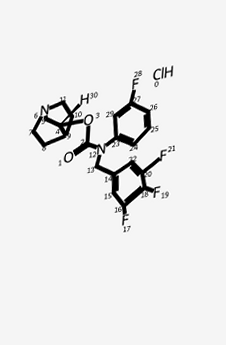 Cl.O=C(O[C@H]1CN2CCC1CC2)N(Cc1cc(F)c(F)c(F)c1)c1cccc(F)c1